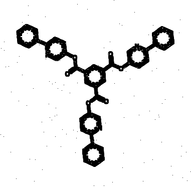 O=C(Oc1ccc(-c2ccccc2)nc1)c1cc(C(=O)Oc2ccc(-c3ccccc3)nc2)cc(C(=O)Oc2ccc(-c3ccccc3)nc2)c1